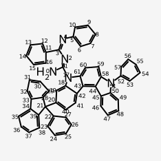 N/C(=N\C(=N/c1ccccc1)c1ccccc1)n1c2cc(C3(c4ccccc4)c4ccccc4-c4ccccc43)ccc2c2c3c4ccccc4n(-c4ccccc4)c3ccc21